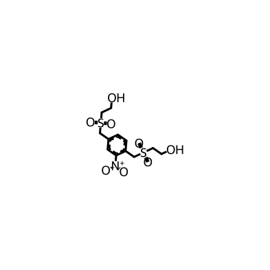 O=[N+]([O-])c1cc(CS(=O)(=O)CCO)ccc1CS(=O)(=O)CCO